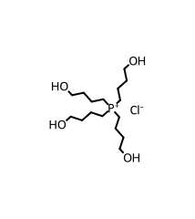 OCCCC[P+](CCCCO)(CCCCO)CCCCO.[Cl-]